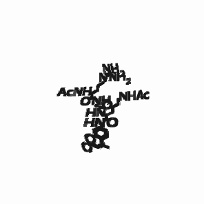 CC(=O)NCCCC[C@H](NC(=O)CNC(=O)[C@H](CCCN=C(N)N)NC(C)=O)C(=O)Nc1ccc2c(C)cc(=O)oc2c1